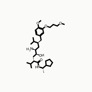 COCCCOc1cc(C[C@@H](C[C@H](N)[C@@H](O)C[C@H](C(=O)N[C@@H](C)C2CCCC2)C(C)C)C(C)C)ccc1OC